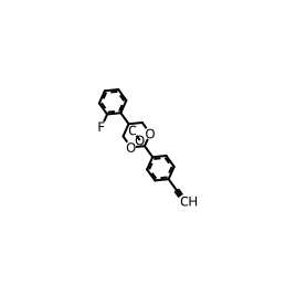 C#Cc1ccc(C23OCC(c4ccccc4F)(CO2)CO3)cc1